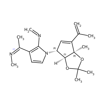 C=Nc1c(/C(C)=N\C)ccn1[C@@H]1C=C(C(=C)C)[C@@]2(C)OC(C)(C)O[C@@H]12